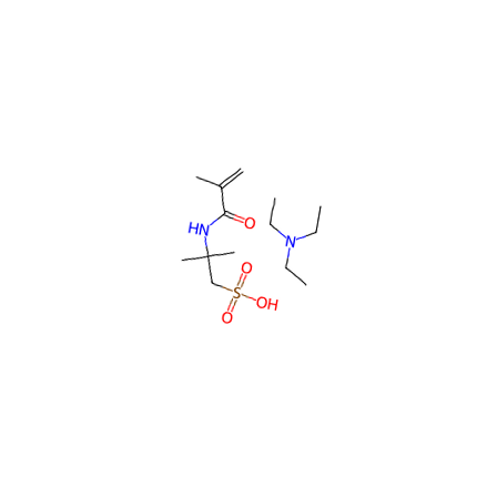 C=C(C)C(=O)NC(C)(C)CS(=O)(=O)O.CCN(CC)CC